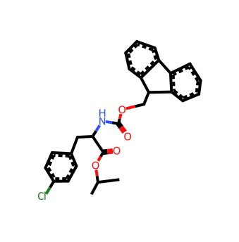 CC(C)OC(=O)C(Cc1ccc(Cl)cc1)NC(=O)OCC1c2ccccc2-c2ccccc21